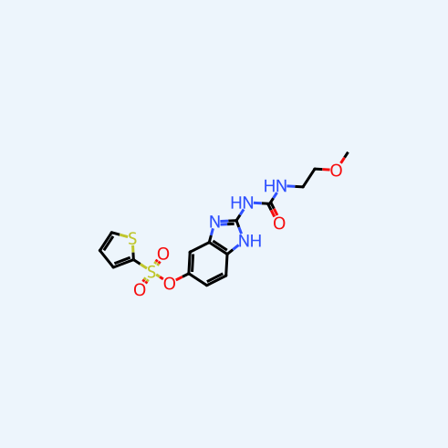 COCCNC(=O)Nc1nc2cc(OS(=O)(=O)c3cccs3)ccc2[nH]1